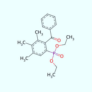 CCOP(=O)(OCC)c1cc(C)c(C)c(C)c1C(=O)c1ccccc1